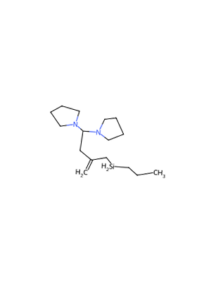 C=C(C[SiH2]CCC)CC(N1CCCC1)N1CCCC1